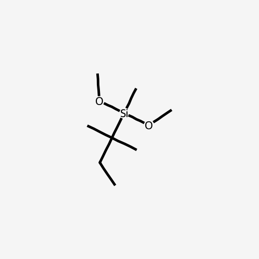 CCC(C)(C)[Si](C)(OC)OC